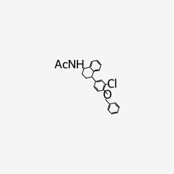 CC(=O)N[C@@H]1CCC(c2ccc(OCc3ccccc3)c(Cl)c2)c2ccccc21